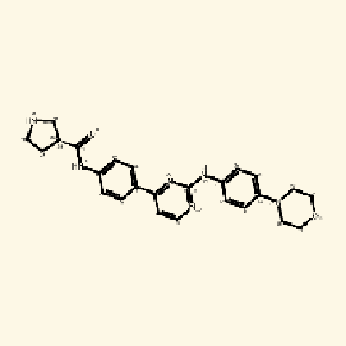 O=C(Nc1ccc(-c2ccnc(Nc3ccc(N4CCOCC4)cc3)n2)cc1)[C@H]1CCNC1